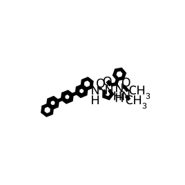 CN[C@@H](C)C(=O)N[C@H](C(=O)N1CCC[C@H]1C(=O)N[C@@H]1CCCc2cc(-c3ccc(-c4ccc5c(c4)CCCC5)cc3)ccc21)C1CCCCC1